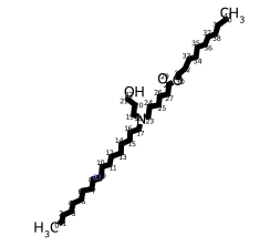 CCCCCCCC/C=C/CCCCCCCCN(CCCO)CCCCCC(=O)OCCCCCCCCCCC